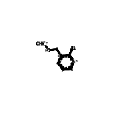 CCc1ncccc1COC=O